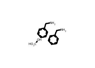 NCc1ccccc1.NCc1ccccc1.O=C(O)O